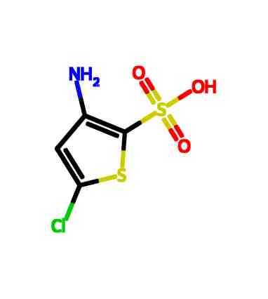 Nc1cc(Cl)sc1S(=O)(=O)O